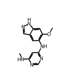 CNc1cc(Nc2cc3cn[nH]c3cc2OC)ncn1